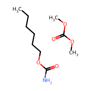 CCCCCCOC(N)=O.COC(=O)OC